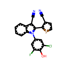 N#Cc1ccsc1-c1c(C#N)c2ccccc2n1-c1cc(F)c(O)c(Cl)c1